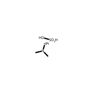 CCCN(C)C.O=S(=O)(O)O